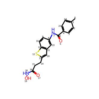 Cc1ccc(C(=O)Nc2ccc3sc(CCC(=O)NO)cc3c2)cc1